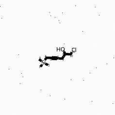 C[Si](C)(C)CC#CCC(O)CCl